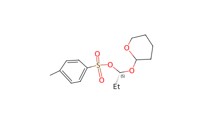 CC[C@@H](OC1CCCCO1)OS(=O)(=O)c1ccc(C)cc1